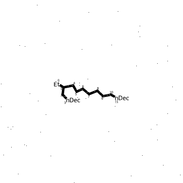 [CH2]CC(CCCCCCCCCCC)CCCCCCCCCCCCCCCCC